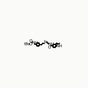 Cc1cc2cc(C(=O)NCCN(C)CCCc3ccc(CNC(=O)OC(C)(C)C)cc3)ccc2[nH]1